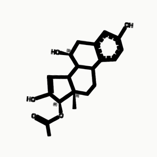 CC(=O)O[C@H]1C(O)=CC2C3C(CC[C@@]21C)c1ccc(O)cc1C[C@@H]3O